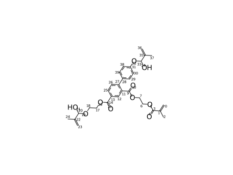 C=C(C)C(=O)OCCOC(=O)c1cc(C(=O)OCCOC(O)C(=C)C)ccc1-c1ccc(OC(O)C(=C)C)cc1